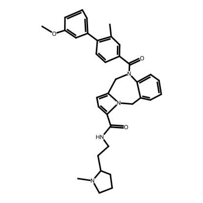 COc1cccc(-c2ccc(C(=O)N3Cc4ccc(C(=O)NCCC5CCCN5C)n4Cc4ccccc43)cc2C)c1